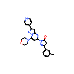 Cc1cccc(C2=NN(c3cc(N4CCOCC4)n4nc(-c5ccncc5)cc4n3)C(=O)C2)c1